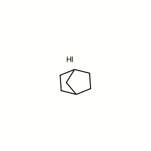 C1CC2CCC1C2.I